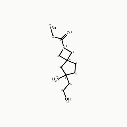 CC(C)(C)OC(=O)N1CC2(CCC(N)(CCO)C2)C1